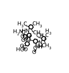 CCc1cc(C)cc(CC)c1Nc1ccc(C(c2ccc(Nc3c(CC)cc(C)cc3CC)c(C(=O)ON)c2)c2ccc(S(=O)(=O)O)cc2S(=O)(=O)O)cc1NOC=O